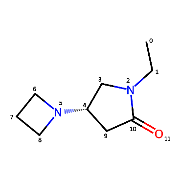 CCN1C[C@@H](N2CCC2)CC1=O